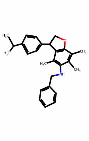 Cc1c(C)c2c(c(C)c1NCc1ccccc1)C(c1ccc(C(C)C)cc1)CO2